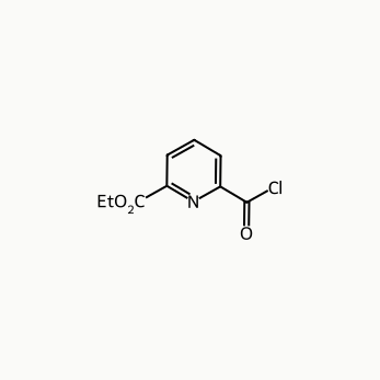 CCOC(=O)c1cccc(C(=O)Cl)n1